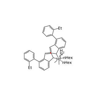 CCCCC[CH2][Hf]([CH3])([CH3])(=[SiH2])([CH2]CCCCC)([CH]1C=Cc2c(-c3ccccc3CC)cccc21)[CH]1C=Cc2c(-c3ccccc3CC)cccc21